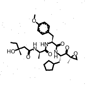 CC[C@@](C)(O)CC(=O)N[C@H](C)C(=O)N[C@@H](Cc1ccc(OC)cc1)C(=O)N[C@@H](CC1CCCC1)C(=O)[C@]1(C)CO1